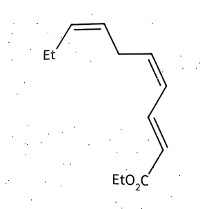 CC/C=C\C/C=C\C=C\C(=O)OCC